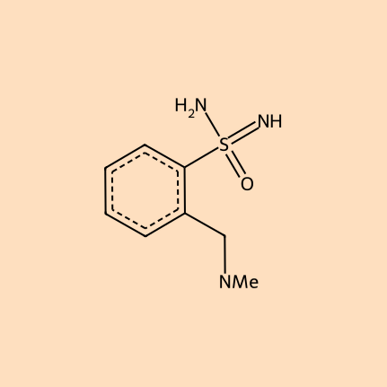 CNCc1ccccc1S(=N)(N)=O